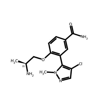 C[C@H](N)COc1ccc(C(N)=O)cc1-c1c(Cl)cnn1C